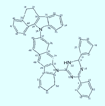 C1=Cc2c(n(C3=NC(c4ccccc4)=NC(c4ccccc4)N3)c3cc4cc(-n5c6c(c7ccccc75)CCc5ccccc5-6)ccc4cc23)CC1